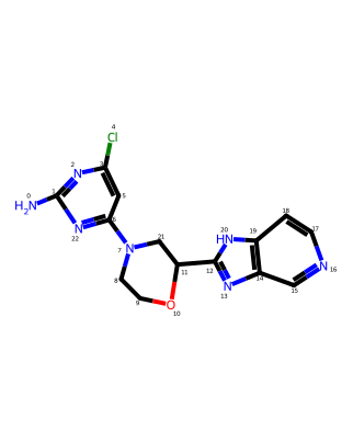 Nc1nc(Cl)cc(N2CCOC(c3nc4cnccc4[nH]3)C2)n1